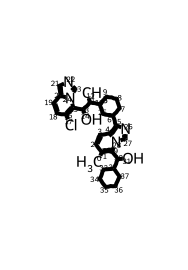 Cc1ccc2c(C3CCCC(C(C)C(O)c4c(Cl)ccc5cncn45)C3)ncn2c1C(O)C1CCCCC1